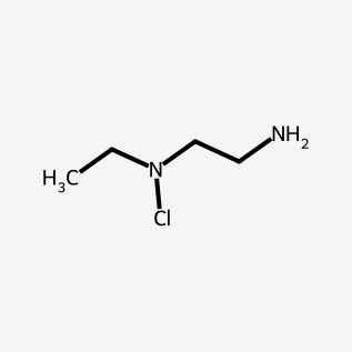 CCN(Cl)CCN